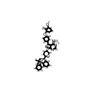 COc1cccc(Oc2ccc(-c3nn(C4CCC(CO[Si](c5ccccc5)(c5ccccc5)C(C)(C)C)OC4)c4ncnc(N)c34)cc2)c1F